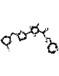 Cc1nc(-c2ccn(Cc3cccc(Cl)c3)n2)sc1C(=O)NCc1cccnc1